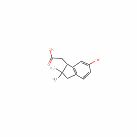 CC1(C)Cc2ccc(O)cc2C1CC(=O)O